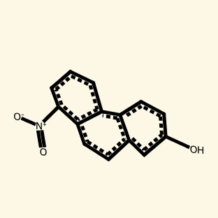 O=[N+]([O-])c1cccc2c1ccc1cc(O)ccc12